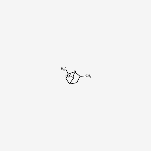 CC1CC2CC(C)N1N(C)C2